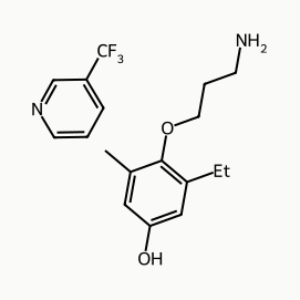 CCc1cc(O)cc(C)c1OCCCN.FC(F)(F)c1cccnc1